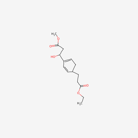 CCOC(=O)CCC1C=CC(C(O)CC(=O)OC)=CC1